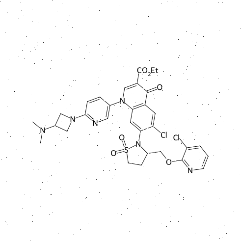 CCOC(=O)c1cn(-c2ccc(N3CC(N(C)C)C3)nc2)c2cc(N3C(COc4ncccc4Cl)CCS3(=O)=O)c(Cl)cc2c1=O